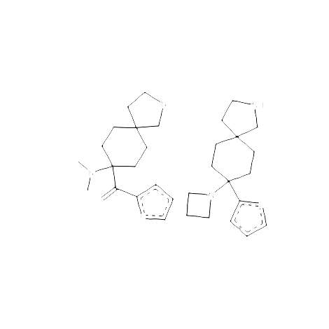 CN(C)C1(C(=O)c2cccs2)CCC2(CCNC2)CC1.c1csc(C2(N3CCC3)CCC3(CCNC3)CC2)c1